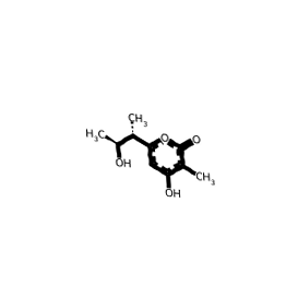 Cc1c(O)cc([C@@H](C)[C@H](C)O)oc1=O